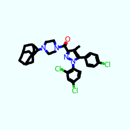 Cc1c(C(=O)N2CCN(C3C4CC5CC(C4)CC3C5)CC2)nn(-c2ccc(Cl)cc2Cl)c1-c1ccc(Cl)cc1